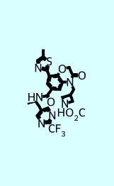 Cc1cnc(-c2cc(C(=O)N[C@H](C)c3cnc(C(F)(F)F)nc3)cc3c2OCC(=O)N3CC2CN(C(=O)O)C2)s1